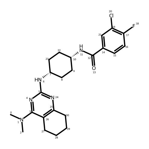 CN(C)c1nc(N[C@H]2CC[C@@H](NC(=O)c3ccc(F)c(Cl)c3)CC2)nc2c1CCCC2